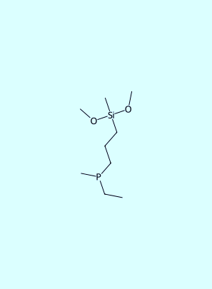 CCP(C)CCC[Si](C)(OC)OC